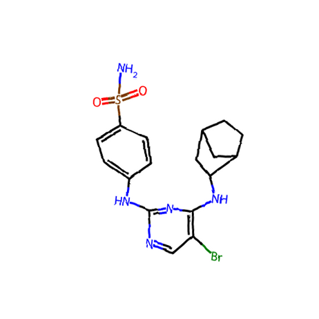 NS(=O)(=O)c1ccc(Nc2ncc(Br)c(NC3CC4CCC3C4)n2)cc1